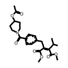 COC(=O)/C(Cc1ccc(C(=O)N2CCC(OC(C)=O)CC2)cc1)=C(\C(=O)OC)C(C)C